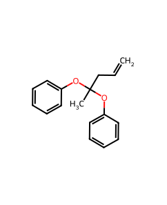 C=CCC(C)(Oc1ccccc1)Oc1ccccc1